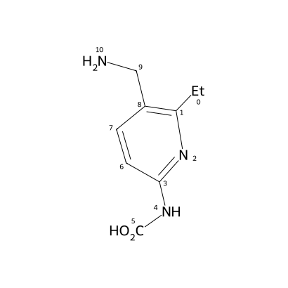 CCc1nc(NC(=O)O)ccc1CN